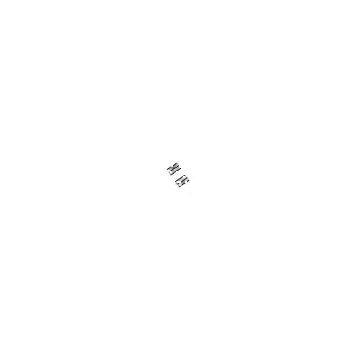 C#C.C#C.[K]